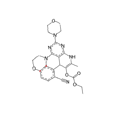 CCOC(=O)OC1=C(C)Nc2nc(N3CCOCC3)nc(N3CCOCC3)c2C1c1ccccc1C#N